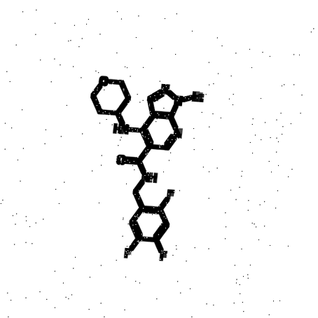 CCn1ncc2c(NC3CCOCC3)c(C(=O)NCc3cc(F)c(F)cc3F)cnc21